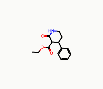 CCOC(=O)C1C(=O)NCCC1c1ccccc1